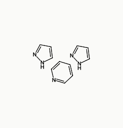 c1ccncc1.c1cn[nH]c1.c1cn[nH]c1